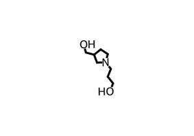 OCCCN1CCC(CO)C1